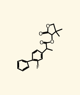 CC(C(=O)OC1C(=O)OCC1(C)C)c1ccc(-c2ccccc2)c(F)c1